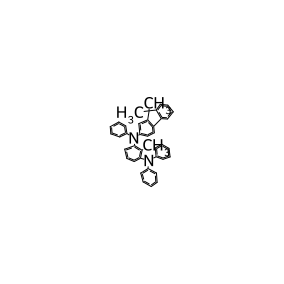 Cc1c(N(c2ccccc2)c2ccccc2)cccc1N(c1ccccc1)c1ccc2c(c1)C(C)(C)c1ccccc1-2